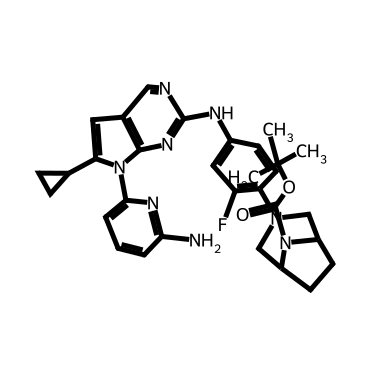 CC(C)(C)OC(=O)N1C2CCC1CN(c1ccc(Nc3ncc4cc(C5CC5)n(-c5cccc(N)n5)c4n3)cc1F)C2